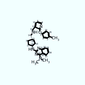 Cc1ccc(Oc2ncccc2CNC[C@H]2CC[C@@H](Nc3nc(N(C)C)c4ccccc4n3)CC2)cc1